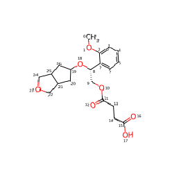 COc1ccccc1[C@H](COC(=O)CCC(=O)O)OC1CC2COCC2C1